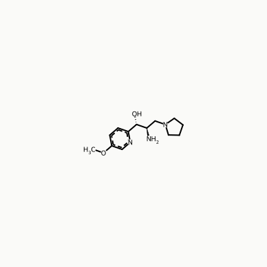 COc1ccc([C@H](O)[C@H](N)CN2CCCC2)nc1